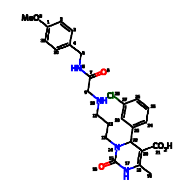 COc1ccc(CNC(=O)CNCCCN2C(=O)NC(C)=C(C(=O)O)C2c2cccc(Cl)c2)cc1